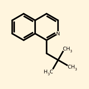 CC(C)(C)Cc1nccc2ccccc12